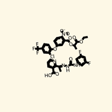 C/C(=N\NC(=O)Nc1cc(F)cc(F)c1)c1ncccc1C(=O)O.CCOC(=O)C(C)OC(=O)c1cc(Oc2ccc(C(F)(F)F)cc2Cl)ccc1[N+](=O)[O-]